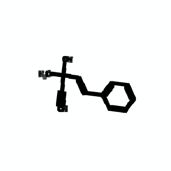 C#CC(C)(O)/C=C/c1ccccc1